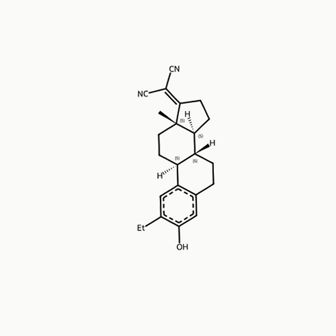 CCc1cc2c(cc1O)CC[C@@H]1[C@@H]2CC[C@]2(C)C(=C(C#N)C#N)CC[C@@H]12